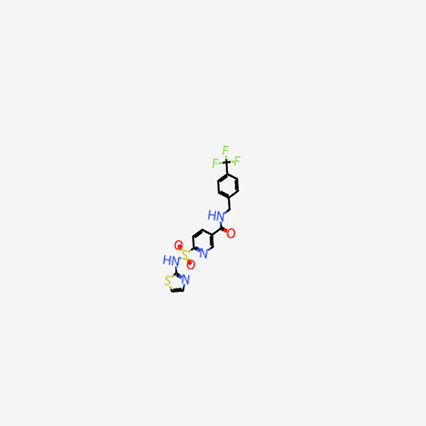 O=C(NCc1ccc(C(F)(F)F)cc1)c1ccc(S(=O)(=O)Nc2nccs2)nc1